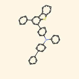 c1ccc(-c2ccc(N(c3ccccc3)c3ccc(-c4cc(-c5ccccc5)cc5c4sc4ccccc45)cc3)cc2)cc1